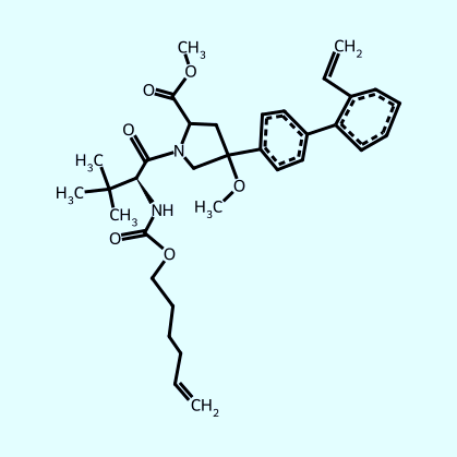 C=CCCCCOC(=O)N[C@H](C(=O)N1CC(OC)(c2ccc(-c3ccccc3C=C)cc2)CC1C(=O)OC)C(C)(C)C